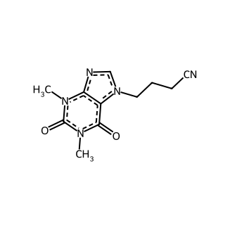 Cn1c(=O)c2c(ncn2CCCC#N)n(C)c1=O